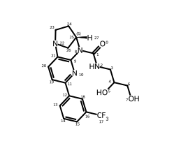 O=C(NCC(O)CO)N1c2nc(-c3cccc(C(F)(F)F)c3)ccc2N2CC[C@H]1C2